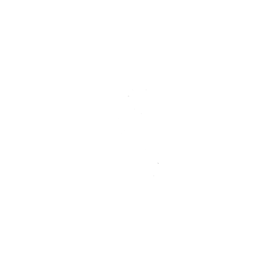 O=C(OCC1c2ccccc2-c2ccccc21)C(Cl)Cl